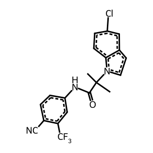 CC(C)(C(=O)Nc1ccc(C#N)c(C(F)(F)F)c1)n1ccc2cc(Cl)ccc21